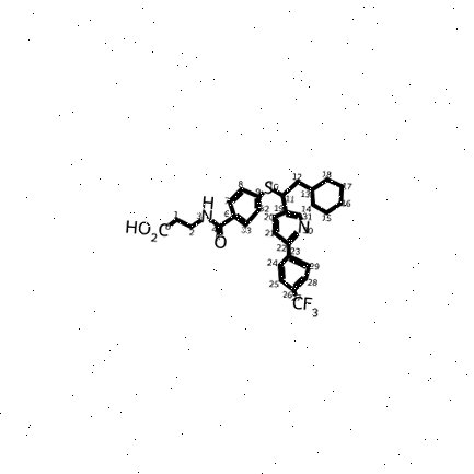 O=C(O)CCNC(=O)c1ccc(SC(CC2CCCCC2)c2ccc(-c3ccc(C(F)(F)F)cc3)nc2)cc1